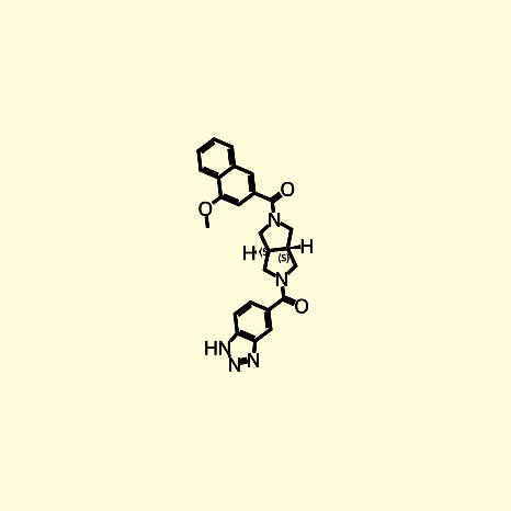 COc1cc(C(=O)N2C[C@@H]3CN(C(=O)c4ccc5[nH]nnc5c4)C[C@H]3C2)cc2ccccc12